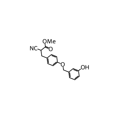 COC(=O)C(C#N)Cc1ccc(OCc2cccc(O)c2)cc1